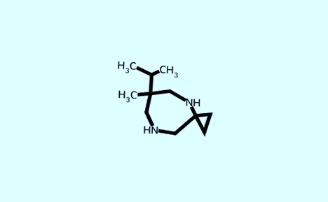 CC(C)C1(C)CNCC2(CC2)NC1